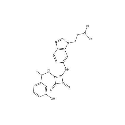 CCN(CC)CCn1cnc2ccc(Nc3c(NC(C)c4cccc(O)c4)c(=O)c3=O)cc21